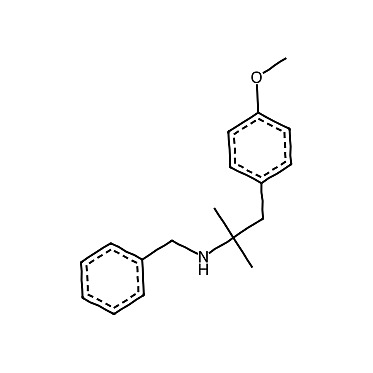 COc1ccc(CC(C)(C)NCc2ccccc2)cc1